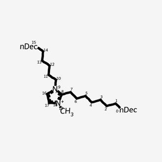 CCCCCCCCCCCCCCCCCc1n(CCCCCCCCCCCCCCC)cc[n+]1C